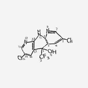 OC1(C(F)(F)F)c2cc(Cl)cnc2Nc2ncc(Cl)cc21